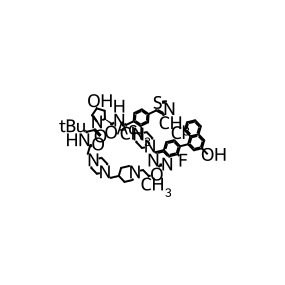 CC(=O)N1CCN(c2nc(O[C@H](C)CN3CCC(CN4CCN(CC(=O)N[C@H](C(=O)N5C[C@H](O)C[C@H]5C(=O)N[C@@H](C)c5ccc(-c6scnc6C)cc5)C(C)(C)C)CC4)CC3)nc3c(F)c(-c4cc(O)cc5ccccc45)c(Cl)cc23)CC1